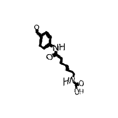 O=Cc1ccc(NC(=O)CCCCCNC(=O)O)cc1